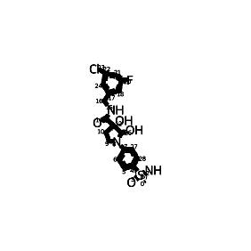 C[S@](=N)(=O)c1ccc(N2CC[C@](O)(C(=O)NCc3cc(F)cc(Cl)c3)C2O)cc1